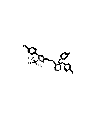 CC(C)(C)n1nc(CCCN2CCNCC2(Cc2ccc(F)cc2)Cc2ccc(F)cc2)cc1-c1ccc(Cl)cc1